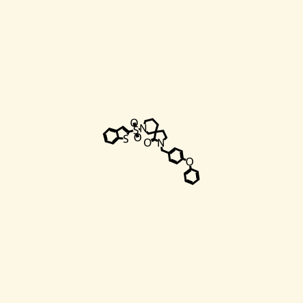 O=C1N(Cc2ccc(Oc3ccccc3)cc2)CCC12CCCN(S(=O)(=O)c1cc3ccccc3s1)C2